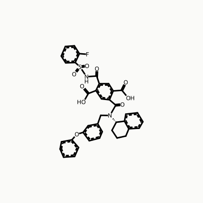 O=C(O)c1cc(C(=O)N(Cc2cccc(Oc3ccccc3)c2)[C@H]2CCCc3ccccc32)c(C(=O)O)cc1C(=O)NS(=O)(=O)c1ccccc1F